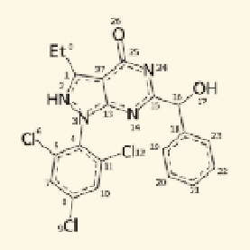 CCc1[nH]n(-c2c(Cl)cc(Cl)cc2Cl)c2nc(C(O)c3ccccc3)nc(=O)c1-2